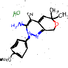 COc1ccc(N2N=C3COC(C)(C)C=C3C(C#N)=C2N)cc1.Cl